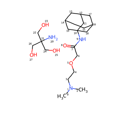 CN(C)CCOCC(=O)NC12CC3CC(CC(C3)C1)C2.NC(CO)(CO)CO